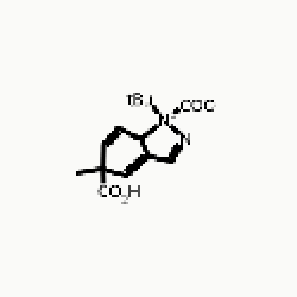 CC1(C(=O)O)C=CC2C(=C1)C=N[N+]2(C(=O)[O-])C(C)(C)C